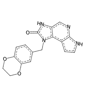 O=c1[nH]c2cnc3[nH]ccc3c2n1Cc1ccc2c(c1)OCCO2